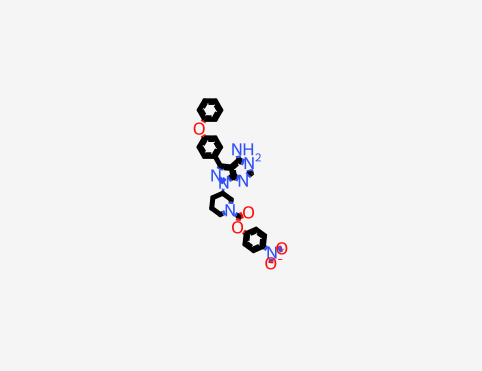 Nc1ncnc2c1c(-c1ccc(Oc3ccccc3)cc1)nn2[C@@H]1CCCN(C(=O)Oc2ccc([N+](=O)[O-])cc2)C1